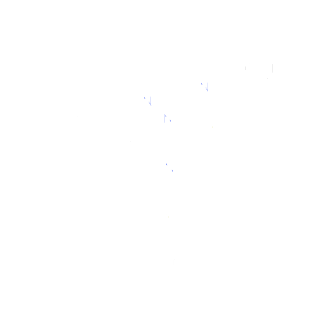 CC(C)C(C)Sc1ccc2c(-c3ccccc3)nn(-c3nc(C(=O)O)cs3)c2n1